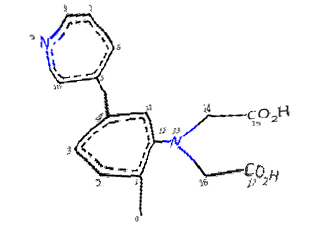 Cc1ccc(-c2cccnc2)cc1N(CC(=O)O)CC(=O)O